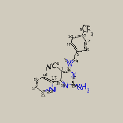 N#Cc1c(N=Cc2ccc(C(F)(F)F)cc2)nc(N)nc1-c1ccccn1